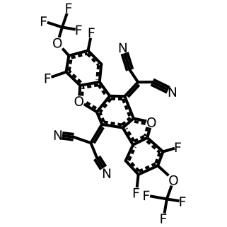 N#CC(C#N)=c1c2oc3c(F)c(OC(F)(F)F)c(F)cc3c2c(=C(C#N)C#N)c2oc3c(F)c(OC(F)(F)F)c(F)cc3c12